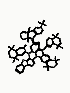 Cc1cc2c(cc1N1c3cc(N4c5ccc(C(C)(C)C)cc5C5(C)CCCCC45C)cc4c3B(c3cc5c(cc3N4c3ccc4c(c3)C(C)(C)CCC4(C)C)C(C)(C)CCC5(C)C)c3ccc4c(oc5ccccc54)c31)C(C)(C)CCC2(C)C